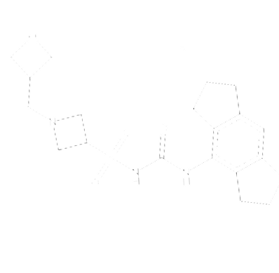 O=C(Nc1c2c(cc3c1CCC3)CCC2)NS(=O)(=O)C1CN(CC2COC2)C1.[K]